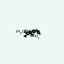 CNC(=O)c1c(-c2ccc(Oc3ccc(F)cc3)cc2)oc2cc(CC(C)O)c(C3CC3)cc12